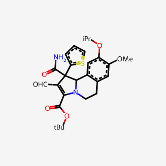 COc1cc2c(cc1OC(C)C)C1N(CC2)C(C(=O)OC(C)(C)C)=C(C=O)C1(C(N)=O)c1cccs1